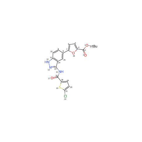 CC(C)(C)OC(=O)c1ccc(-c2ccc3[nH]nc(NC(=O)c4ccc(Cl)s4)c3c2)o1